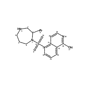 CC(C)C1CNCCCN1S(=O)(=O)c1cccc2c(O)nccc12